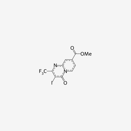 COC(=O)c1ccn2c(=O)c(I)c(C(F)(F)F)nc2c1